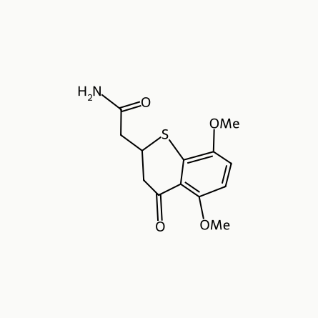 COc1ccc(OC)c2c1SC(CC(N)=O)CC2=O